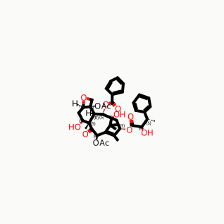 CC(=O)O[C@H]1C(=O)[C@@]2(C)[C@H]([C@H](OC(=O)c3ccccc3)[C@]3(O)C[C@H](OC(=O)[C@H](O)[C@@H](C)c4ccccc4)C(C)=C1C3(C)C)[C@]1(OC(C)=O)CO[C@@H]1C[C@@H]2O